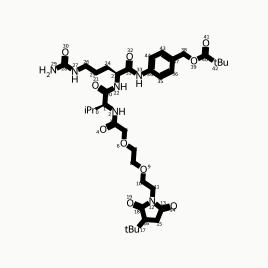 CC(C)[C@H](NC(=O)COCCOCCN1C(=O)CC(C(C)(C)C)C1=O)C(=O)N[C@@H](CCCNC(N)=O)C(=O)Nc1ccc(COC(=O)C(C)(C)C)cc1